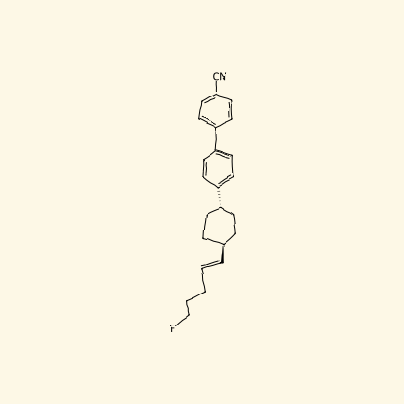 N#Cc1ccc(-c2ccc([C@H]3CC[C@H](C=CCCCF)CC3)cc2)cc1